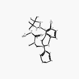 CN(C[C@@]1(c2ccccc2)Cc2c(ccc(Cl)c2B2OC(C)(C)C(C)(C)O2)O1)C(=O)OC(C)(C)C